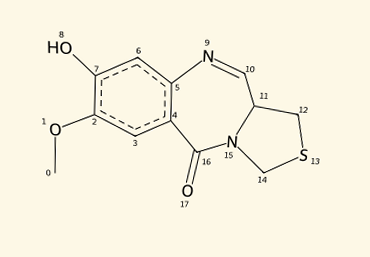 COc1cc2c(cc1O)N=CC1CSCN1C2=O